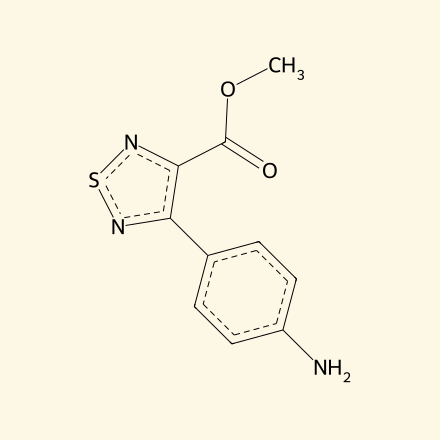 COC(=O)c1nsnc1-c1ccc(N)cc1